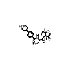 CC(C)C[C@H](NC(=O)c1ccc(C2CCNCC2)cc1)C(=O)N1CC[C@H]2OCC(=O)[C@H]21